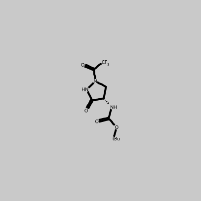 CC(C)(C)OC(=O)N[C@H]1CN(C(=O)C(F)(F)F)NC1=O